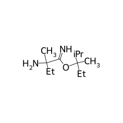 CCC(C)(N)C(=N)OC(C)(CC)C(C)C